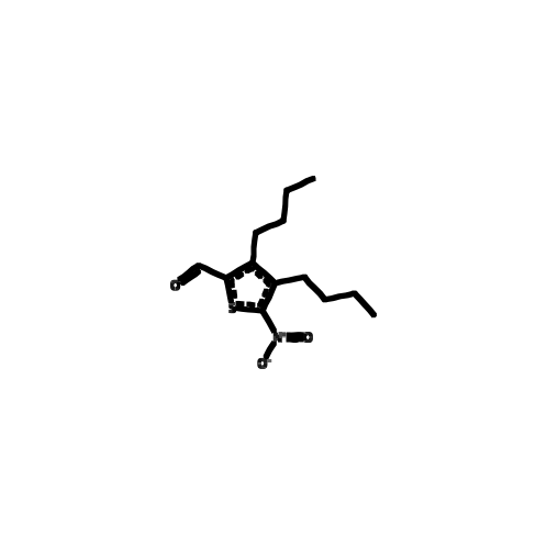 CCCCc1c(C=O)sc([N+](=O)[O-])c1CCCC